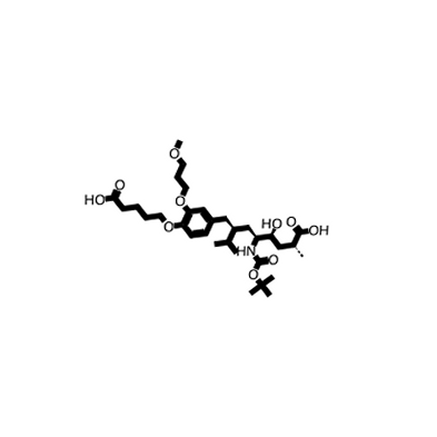 COCCCOc1cc(C[C@@H](C[C@H](NC(=O)OC(C)(C)C)[C@@H](O)C[C@@H](C)C(=O)O)C(C)C)ccc1OCCCCC(=O)O